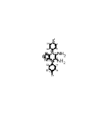 Cc1ccc(N2C(N)=C(N)N(c3ccc(C)cc3)c3nonc32)cc1